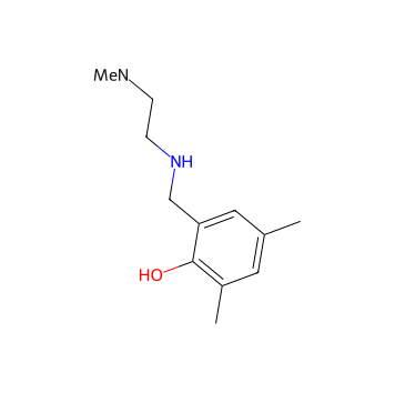 CNCCNCc1cc(C)cc(C)c1O